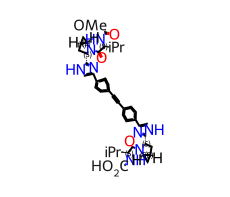 COC(=O)N[C@H](C(=O)N1[C@H](c2nc(-c3ccc(C#Cc4ccc(-c5c[nH]c([C@@H]6C[C@@H]7C[C@@H]7N6C(=O)[C@@H](NC(=O)O)C(C)C)n5)cc4)cc3)c[nH]2)C[C@H]2C[C@@H]21)C(C)C